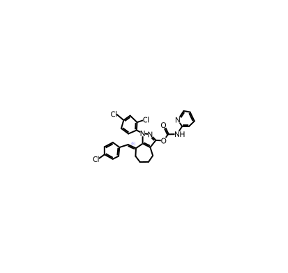 O=C(Nc1ccccn1)Oc1nn(-c2ccc(Cl)cc2Cl)c2c1CCCC/C2=C\c1ccc(Cl)cc1